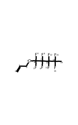 C=CCOC(F)(F)C(F)(F)C(F)(F)C(C)(F)F